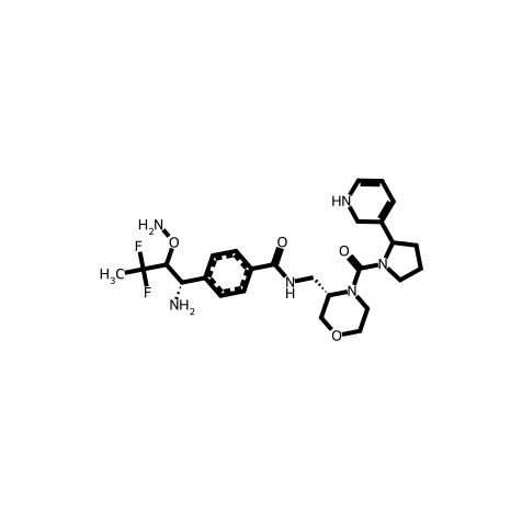 CC(F)(F)C(ON)[C@@H](N)c1ccc(C(=O)NC[C@H]2COCCN2C(=O)N2CCCC2C2=CC=CNC2)cc1